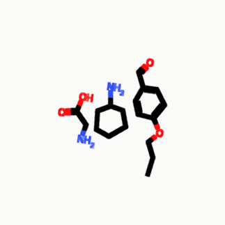 CCCOc1ccc(C=O)cc1.NC1CCCCC1.NCC(=O)O